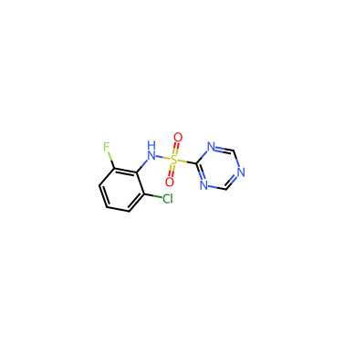 O=S(=O)(Nc1c(F)cccc1Cl)c1ncncn1